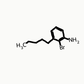 CCCCCc1cccc(N)c1Br